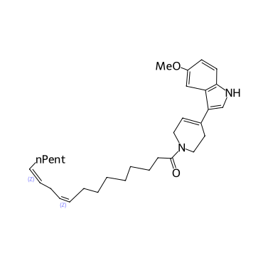 CCCCC/C=C\C/C=C\CCCCCCCC(=O)N1CC=C(c2c[nH]c3ccc(OC)cc23)CC1